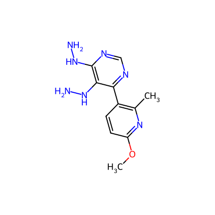 COc1ccc(-c2ncnc(NN)c2NN)c(C)n1